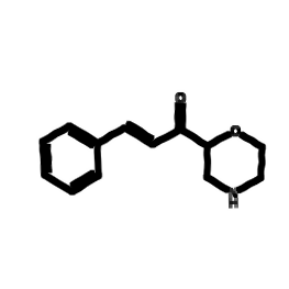 O=C(C=Cc1ccccc1)C1CNCCO1